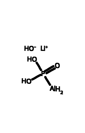 O=[P](O)(O)[AlH2].[Li+].[OH-]